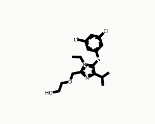 CCn1c(COCCO)nc(C(C)C)c1Sc1cc(Cl)cc(Cl)c1